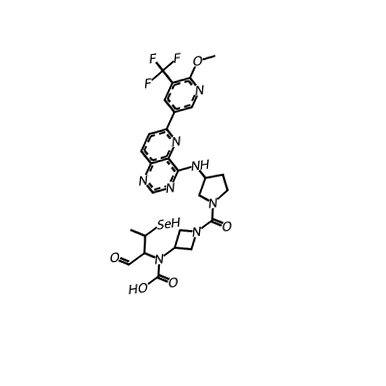 COc1ncc(-c2ccc3ncnc(NC4CCN(C(=O)N5CC(N(C(=O)O)C(C=O)C(C)[SeH])C5)C4)c3n2)cc1C(F)(F)F